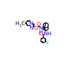 Cc1ccn2cc(OC(=O)NC34CC5CC(C3)CC(NC(=O)c3cccc(F)c3)(C5)C4)nc2c1